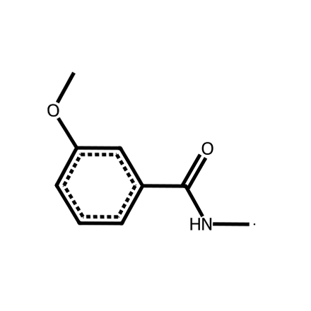 [CH2]NC(=O)c1cccc(OC)c1